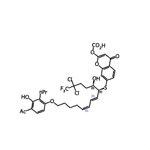 CCCc1c(OCCCC/C=C\C=C\[C@H](Sc2ccc3c(=O)cc(OC(=O)O)oc3c2)[C@H](O)CCC(Cl)(Cl)C(F)(F)F)ccc(C(C)=O)c1O